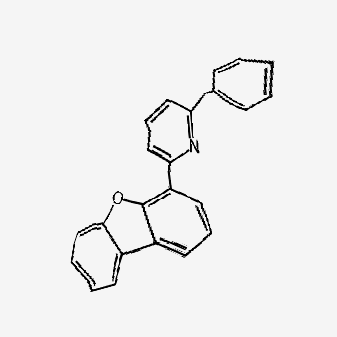 c1ccc(-c2cccc(-c3cccc4c3oc3ccccc34)n2)cc1